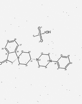 CS(=O)(=O)O.O=C1C[C@]2(CC[C@@H](N3CCN(c4ccccc4)CC3)CC2)c2ccccc21